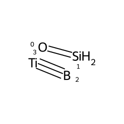 O=[SiH2].[B]#[Ti]